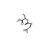 C=C(CC(CC)C(=O)OC)/N=C\NC